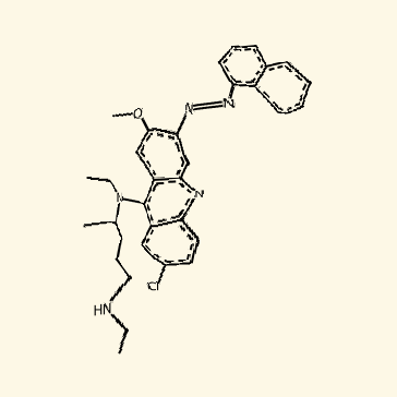 CCNCCCC(C)N(CC)c1c2cc(Cl)ccc2nc2cc(N=Nc3cccc4ccccc34)c(OC)cc12